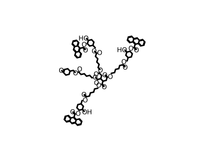 O=C(CCCCCOC(=O)CC(C(=O)OCCCCCC(=O)OCC1CCC(OC(=O)c2c3ccccc3cc3ccccc23)C(O)C1)C(CC(=O)OCCCCCC(=O)OCC1CCC(O)C(OC(=O)c2c3ccccc3cc3ccccc23)C1)C(=O)OCCCCCC(=O)OCC1CCC2OC2C1)OCC1CCC(OC(=O)c2c3ccccc3cc3ccccc23)C(O)C1